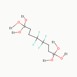 CCO[Si](CCC(F)(F)C(F)(F)CC[Si](OCC)(OCC)OCC)(OCC)OCC